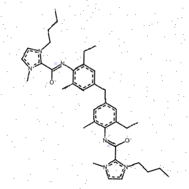 CCCCn1cc[n+](C)c1/C([O-])=N/c1c(C)cc(Cc2cc(C)c(/N=C(\[O-])c3n(CCCC)cc[n+]3C)c(CC)c2)cc1CC